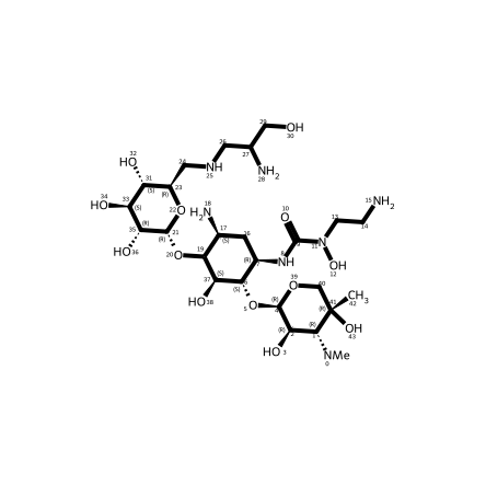 CN[C@@H]1[C@@H](O)[C@@H](O[C@H]2[C@H](NC(=O)N(O)CCN)C[C@H](N)C(O[C@H]3O[C@H](CNCC(N)CO)[C@@H](O)[C@H](O)[C@H]3O)[C@@H]2O)OC[C@]1(C)O